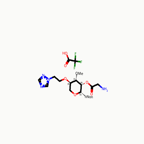 CCCCCCCCC[C@@H]1OC[C@@H](OCCn2cncn2)[C@H](OC)[C@@H]1OC(=O)CN.O=C(O)C(F)(F)F